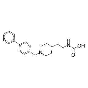 O=C(O)NCCC1CCN(Cc2ccc(-c3ccccc3)cc2)CC1